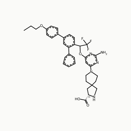 CCCOc1ccc(-c2ccc(C(Oc3cc(N4CCC5(CC4)CN[C@H](C(=O)O)C5)nc(N)n3)C(F)(F)F)c(-c3ccccc3)c2)cc1